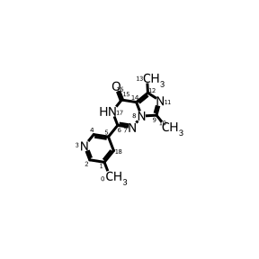 Cc1cncc(-c2nn3c(C)nc(C)c3c(=O)[nH]2)c1